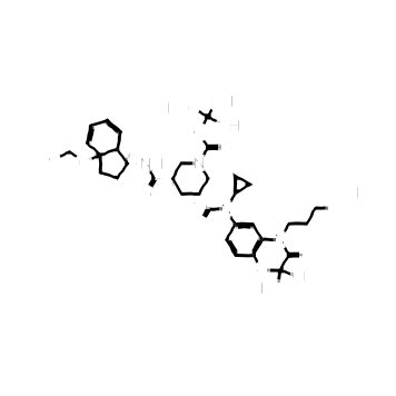 CCOC12C=CC=CC1[C@H](NC(=O)[C@H]1C[C@@H](C(=O)N(c3ccc4c(c3)N(CCCOC)C(=O)C(C)(C)O4)C3CC3)CN(C(=O)OC(C)(C)C)C1)CC2